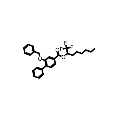 CCCCCCC(OC(=O)c1ccc(-c2ccccc2)c(OCc2ccccc2)c1)C(F)(F)F